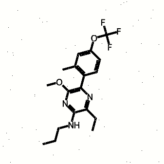 CCCNc1nc(OC)c(-c2ccc(OC(F)(F)F)cc2C)nc1CC